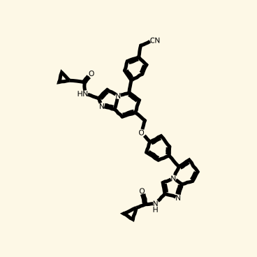 N#CCc1ccc(-c2cc(COc3ccc(-c4cccc5nc(NC(=O)C6CC6)cn45)cc3)cc3nc(NC(=O)C4CC4)cn23)cc1